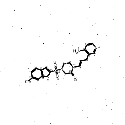 Nc1ccncc1C/C=C/N1CCN(S(=O)(=O)c2cc3ccc(Cl)cc3s2)CC1=O